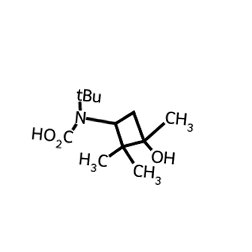 CC(C)(C)N(C(=O)O)C1CC(C)(O)C1(C)C